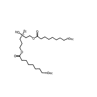 CCCCCCCCCCCCCCCCCC(=O)OCCC[N+](O)(CC)CCOC(=O)CCCCCCCCCCCCCCCCC